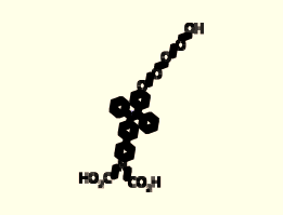 O=C(O)CCN(CCC(=O)O)c1ccc(-c2ccc(/C(=C(\c3ccccc3)c3ccc(OCCOCCOCCOCCO)cc3)c3ccccc3)cc2)cc1